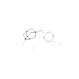 CN1CCN(CC23CC4CC(C2)C(N)(C4)C3)CC1.Cl